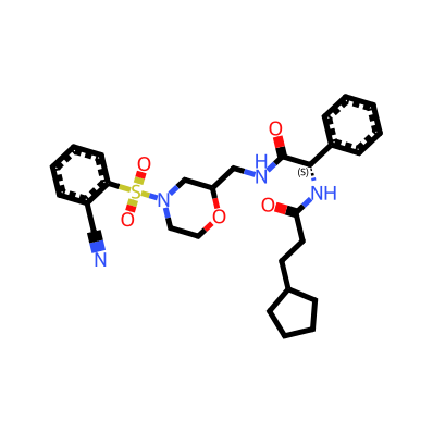 N#Cc1ccccc1S(=O)(=O)N1CCOC(CNC(=O)[C@@H](NC(=O)CCC2CCCC2)c2ccccc2)C1